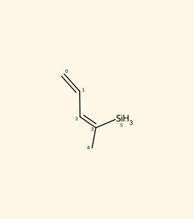 C=CC=C(C)[SiH3]